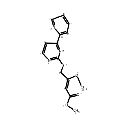 COC(=O)/C=C(/CSc1nccc(-c2ccccn2)n1)OC